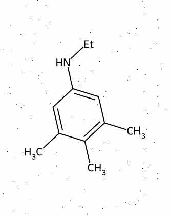 [CH2]CNc1cc(C)c(C)c(C)c1